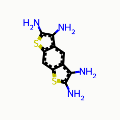 Nc1sc2cc3sc(N)c(N)c3cc2c1N